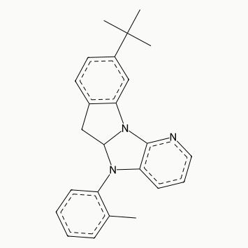 Cc1ccccc1N1c2cccnc2N2c3cc(C(C)(C)C)ccc3CC12